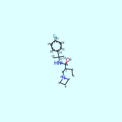 CCC(CN1CCC1)C(=O)NC(C)(C)c1ccc(F)cc1